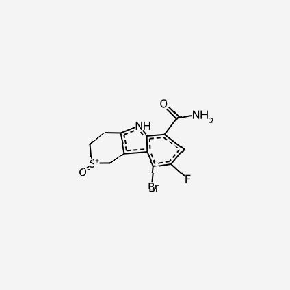 NC(=O)c1cc(F)c(Br)c2c3c([nH]c12)CC[S+]([O-])C3